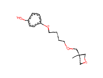 CC1(COCCCCOc2ccc(O)cc2)COC1